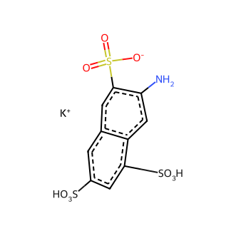 Nc1cc2c(S(=O)(=O)O)cc(S(=O)(=O)O)cc2cc1S(=O)(=O)[O-].[K+]